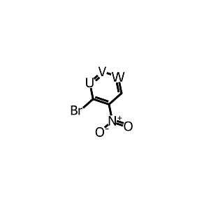 O=[N+]([O-])C1=[C](Br)[U]=[V][W]=[CH]1